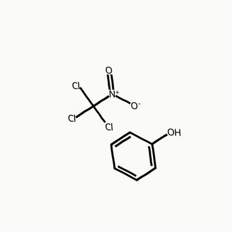 O=[N+]([O-])C(Cl)(Cl)Cl.Oc1ccccc1